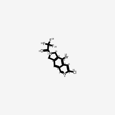 O=C(N1Cc2cc3cnc(Cl)cc3c(Br)c2C1)C(F)(F)F